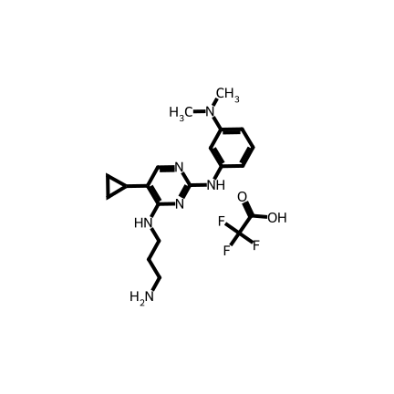 CN(C)c1cccc(Nc2ncc(C3CC3)c(NCCCN)n2)c1.O=C(O)C(F)(F)F